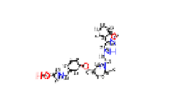 C[C@H]1CC[C@@H](COc2cccc(CN3CC(O)C3)c2)CN1CCNCc1noc2ccccc12